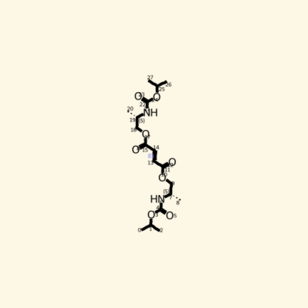 CC(C)OC(=O)N[C@@H](C)COC(=O)/C=C/C(=O)OC[C@H](C)NC(=O)OC(C)C